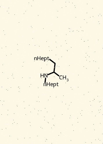 CCCCCCCCC(C)NCCCCCCC